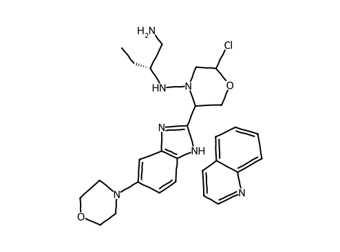 CC[C@H](CN)NN1CC(Cl)OCC1c1nc2cc(N3CCOCC3)ccc2[nH]1.c1ccc2ncccc2c1